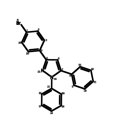 Brc1ccc(-c2cc(-c3ccccc3)n(-c3ccccc3)n2)cc1